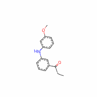 CCC(=O)c1cccc(Nc2cccc(OC)c2)c1